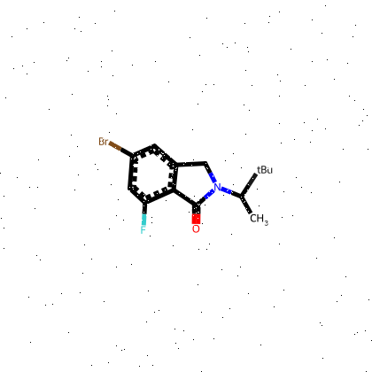 CC(N1Cc2cc(Br)cc(F)c2C1=O)C(C)(C)C